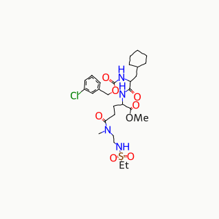 CCS(=O)(=O)NCCN(C)C(=O)CCC(NC(=O)C(CC1CCCCC1)NC(=O)OCc1cccc(Cl)c1)C(=O)OC